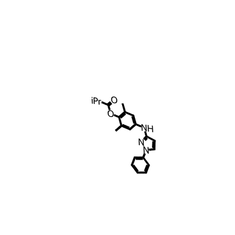 Cc1cc(Nc2ccn(-c3ccccc3)n2)cc(C)c1OC(=O)C(C)C